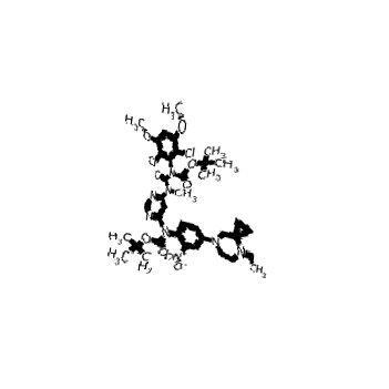 CCN1CCN(c2ccc(N(C(=O)OC(C)(C)C)c3cc(N(C)C(=O)N(C(=O)OC(C)(C)C)c4c(Cl)c(OC)cc(OC)c4Cl)ncn3)c([N+](=O)[O-])c2)CC12CC2